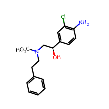 Nc1ccc([C@@H](O)CN(CCc2ccccc2)C(=O)O)cc1Cl